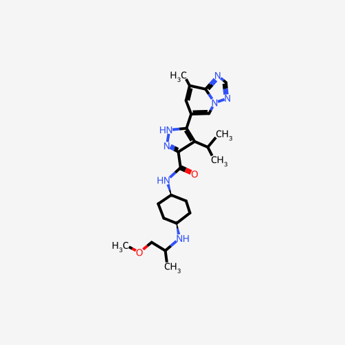 COCC(C)N[C@H]1CC[C@@H](NC(=O)c2n[nH]c(-c3cc(C)c4ncnn4c3)c2C(C)C)CC1